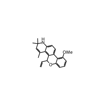 C=CC1Oc2cccc(OC)c2-c2ccc3c(c21)C(C)=CC(C)(C)N3